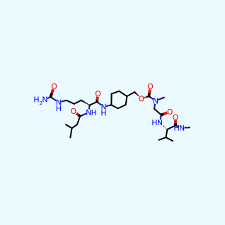 CNC(=O)[C@@H](NC(=O)CN(C)C(=O)OCC1CCC(NC(=O)[C@H](CCCNC(N)=O)NC(=O)CC(C)C)CC1)C(C)C